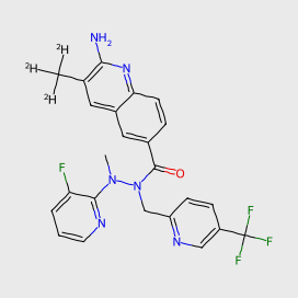 [2H]C([2H])([2H])c1cc2cc(C(=O)N(Cc3ccc(C(F)(F)F)cn3)N(C)c3ncccc3F)ccc2nc1N